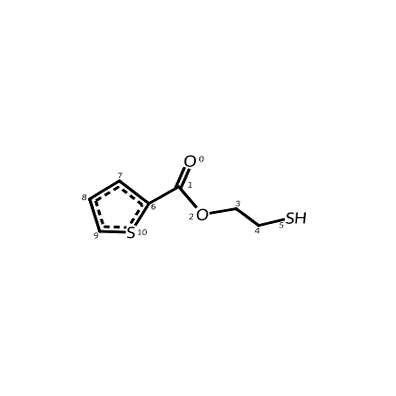 O=C(OCCS)c1cccs1